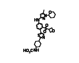 Cc1cc(Nc2ccc(-c3cnc(C4CCC(NC(=O)O)CC4)s3)c(S(=O)(=O)C3COC3)c2)nn1C1CCCCO1